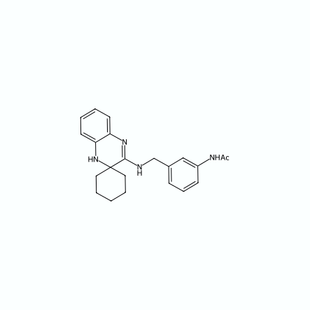 CC(=O)Nc1cccc(CNC2=Nc3ccccc3NC23CCCCC3)c1